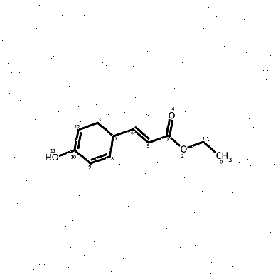 CCOC(=O)/C=C/C1C=CC(O)=CC1